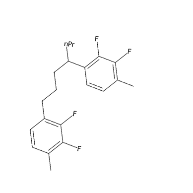 CCCC(CCCc1ccc(C)c(F)c1F)c1ccc(C)c(F)c1F